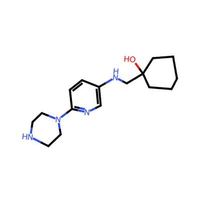 OC1(CNc2ccc(N3CCNCC3)nc2)CCCCC1